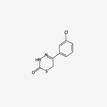 O=C1NN=C(c2cccc(Cl)c2)CS1